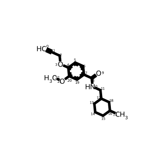 C#CCOc1ccc(C(=O)NCC2CCCC(C)C2)cc1OC